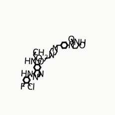 C=CC(=O)Nc1cc2c(Nc3ccc(F)c(Cl)c3)ncnc2cc1OCCCN1CCN(Cc2ccc(N3CCC(=O)NC3=O)cc2)CC1